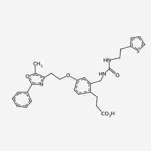 Cc1oc(-c2ccccc2)nc1CCOc1ccc(CCC(=O)O)c(CNC(=O)NCCc2cccs2)c1